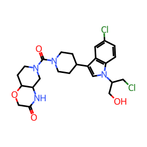 O=C1COC2CCN(C(=O)N3CCC(c4cn(C(CO)CCl)c5ccc(Cl)cc45)CC3)CC2N1